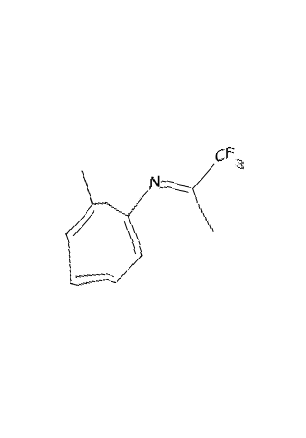 CC(=Nc1ccccc1C)C(F)(F)F